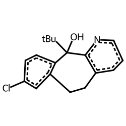 CC(C)(C)C1(O)c2ccc(Cl)cc2CCc2cccnc21